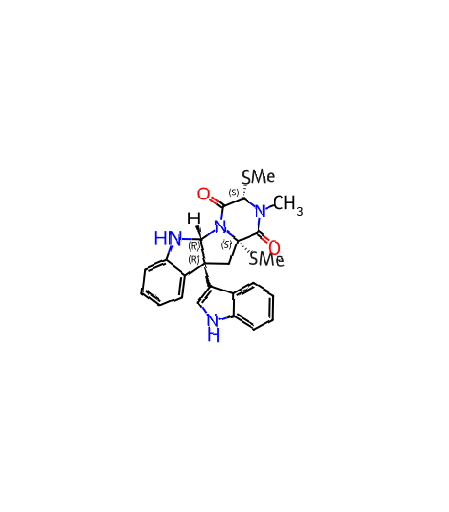 CS[C@H]1C(=O)N2[C@H]3Nc4ccccc4[C@@]3(c3c[nH]c4ccccc34)C[C@]2(SC)C(=O)N1C